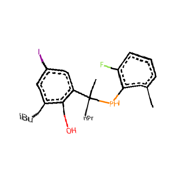 CCCC(C)(Pc1c(C)cccc1F)c1cc(I)cc(C(C)CC)c1O